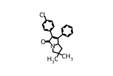 CC1(C)CC2C(c3ccccc3)=C(c3ccc(Cl)cc3)C(=O)N2C1